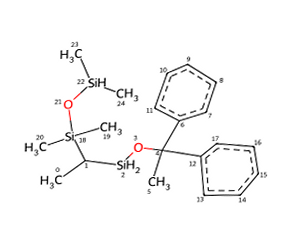 CC([SiH2]OC(C)(c1ccccc1)c1ccccc1)[Si](C)(C)O[SiH](C)C